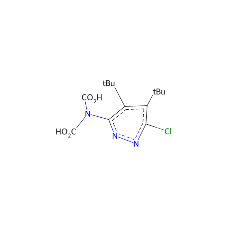 CC(C)(C)c1c(Cl)nnc(N(C(=O)O)C(=O)O)c1C(C)(C)C